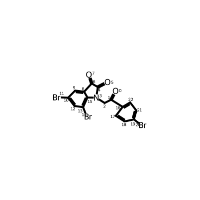 O=C(CN1C(=O)C(=O)c2cc(Br)cc(Br)c21)c1ccc(Br)cc1